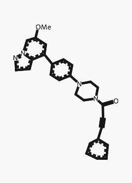 COc1cc(-c2ccc(N3CCN(C(=O)C#Cc4ccccc4)CC3)cc2)c2ccnn2c1